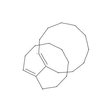 [C]1=C(/C2=C\CCCCCCCC2)CCCCCCCCC/1